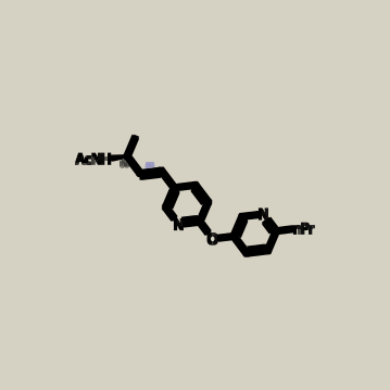 CCCc1ccc(Oc2ccc(/C=C/[C@H](C)NC(C)=O)cn2)cn1